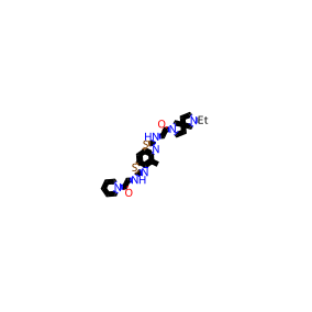 CCN1CCC2(CCN(C(=O)CNc3nc4c(C)c5nc(NCC(=O)N6CCCCC6)sc5cc4s3)C2)C1